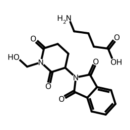 NCCCC(=O)O.O=C1CCC(N2C(=O)c3ccccc3C2=O)C(=O)N1CO